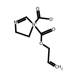 C=CCOC(=O)[N+]1(C(=O)[O-])C=NCC1